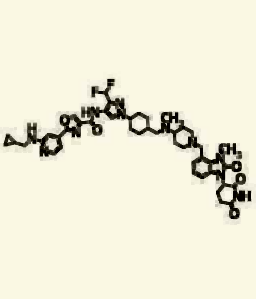 CN(CC1CCC(n2cc(NC(=O)c3coc(-c4ccnc(NCC5CC5)c4)n3)c(C(F)F)n2)CC1)C1CCN(Cc2cccc3c2n(C)c(=O)n3[C@@H]2CCC(=O)NC2=O)CC1